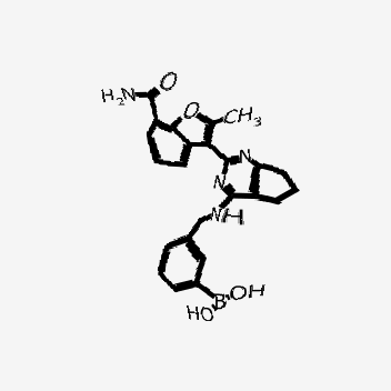 Cc1oc2c(C(N)=O)cccc2c1-c1nc2c(c(NCc3cccc(B(O)O)c3)n1)CCC2